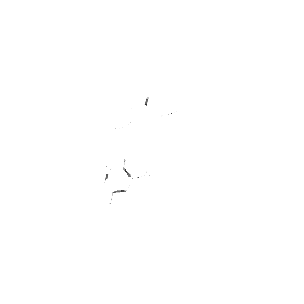 Cc1cnc(NC[C@H]2CN(C(=O)OC(C)(C)C)CCO2)c(N)c1